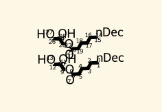 CCCCCCCCCCCCCCCC(=O)OCC(O)CO.CCCCCCCCCCCCCCCC(=O)OCC(O)CO